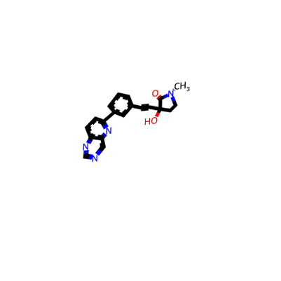 CN1CCC(O)(C#Cc2cccc(-c3ccc4ncncc4n3)c2)C1=O